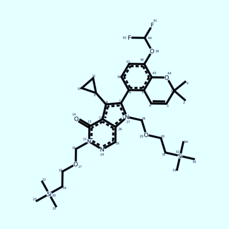 CC1(C)C=Cc2c(-c3c(C4CC4)c4c(=O)n(COCC[Si](C)(C)C)ncc4n3COCC[Si](C)(C)C)ccc(OC(F)F)c2O1